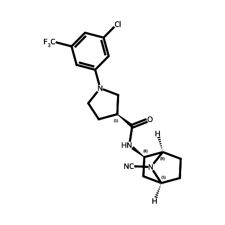 N#CN1[C@H]2CC[C@@H]1[C@H](NC(=O)[C@H]1CCN(c3cc(Cl)cc(C(F)(F)F)c3)C1)C2